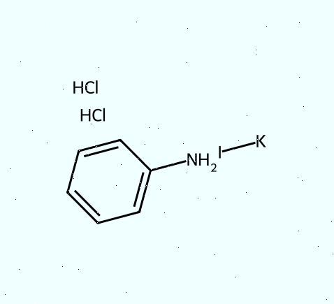 Cl.Cl.Nc1ccccc1.[K][I]